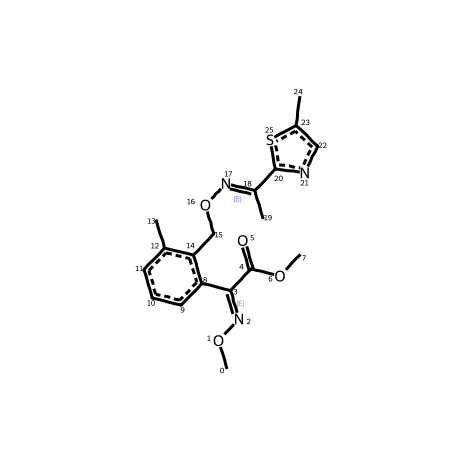 CO/N=C(/C(=O)OC)c1cccc(C)c1CO/N=C(\C)c1ncc(C)s1